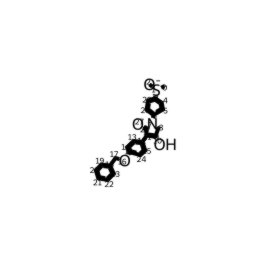 C[S+]([O-])c1ccc(N2CC(O)=C(c3ccc(OCc4ccccc4)cc3)C2=O)cc1